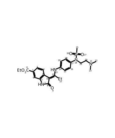 CCOC(=O)c1ccc2c(c1)NC(=O)/C2=C(\CC)Nc1ccc(N(CCN(C)C)S(C)(=O)=O)cc1